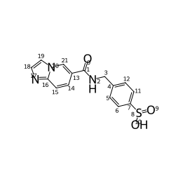 O=C(NCc1ccc(S(=O)O)cc1)c1ccc2nccn2c1